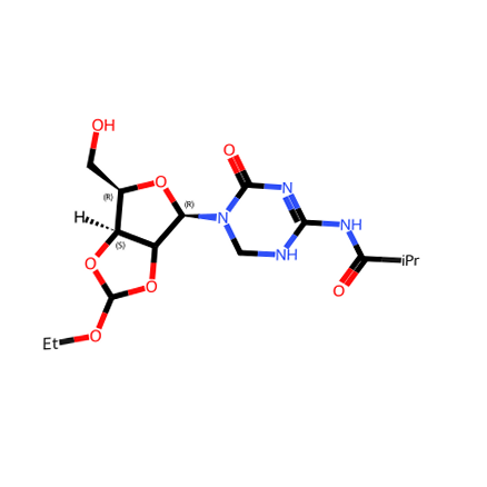 CCOC1OC2[C@@H](O1)[C@@H](CO)O[C@H]2N1CNC(NC(=O)C(C)C)=NC1=O